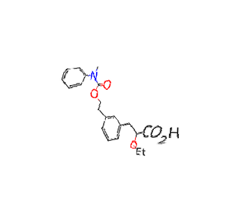 CCOC(Cc1cccc(CCOC(=O)N(C)c2ccccc2)c1)C(=O)O